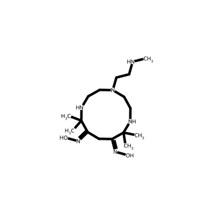 CNCCN1CCNC(C)(C)/C(=N\O)C/C(=N/O)C(C)(C)NCC1